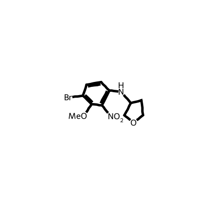 COc1c(Br)ccc(NC2CCOC2)c1[N+](=O)[O-]